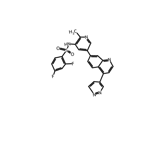 Cc1ncc(-c2ccc3c(-c4ccnnc4)ccnc3c2)cc1NS(=O)(=O)c1ccc(F)cc1F